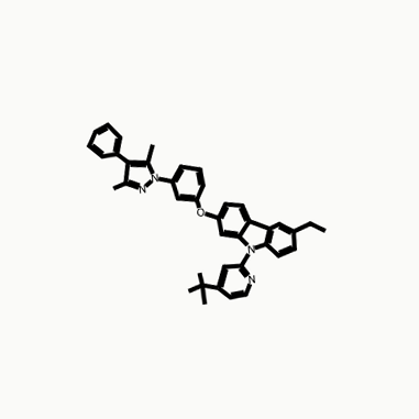 CCc1ccc2c(c1)c1ccc(Oc3cccc(-n4nc(C)c(-c5ccccc5)c4C)c3)cc1n2-c1cc(C(C)(C)C)ccn1